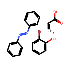 C=CC(=O)O.Oc1ccccc1Br.c1ccc(N=Nc2ccccc2)cc1